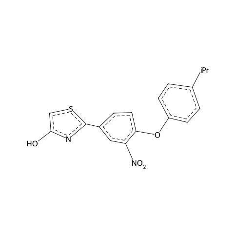 CC(C)c1ccc(Oc2ccc(-c3nc(O)cs3)cc2[N+](=O)[O-])cc1